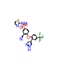 N#Cc1cc(S(=O)(=O)Nc2nccs2)ccc1Oc1ccc(C(F)(F)F)cc1-c1cn[nH]c1